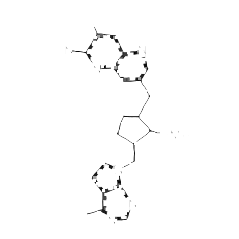 COC1C(Cc2cnc3cc(F)c(N)nc3c2)CCC1Cn1ccc2c(C)ncnc21